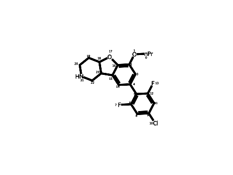 CCCOc1cc(-c2c(F)cc(Cl)cc2F)cc2c1OC1CCNCC21